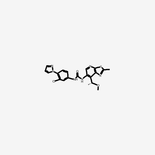 CO[C@H](C)c1c(NC(=O)Nc2ccc(-n3cccn3)c(Cl)c2)cnc2sc(C)nc12